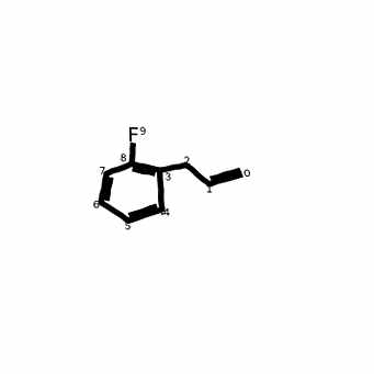 C=CCc1[c]cccc1F